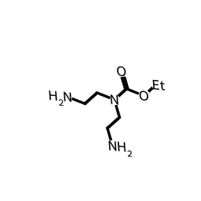 [CH2]COC(=O)N(CCN)CCN